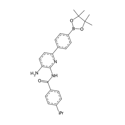 CC(C)c1ccc(C(=O)Nc2nc(-c3ccc(B4OC(C)(C)C(C)(C)O4)cc3)ccc2N)cc1